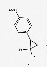 CCC1(CC)CC1c1ccc(OC)cc1